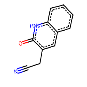 N#CCc1cc2ccccc2[nH]c1=O